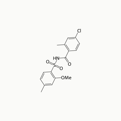 COc1cc(C)ccc1S(=O)(=O)NC(=O)c1ccc(Cl)cc1C